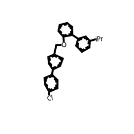 CC(C)c1cccc(-c2ccccc2OCc2ccc(-c3ccc(Cl)cc3)cc2)c1